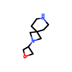 C1CC2(CCN1)CN(C1COC1)C2